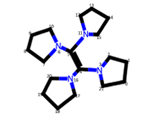 C1CCN(C(=C(N2CCCC2)N2CCCC2)N2CCCC2)C1